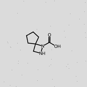 O=C(O)N1NCC12CCCC2